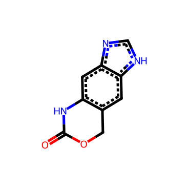 O=C1Nc2cc3nc[nH]c3cc2CO1